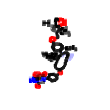 C=C1CC[C@@H](Oc2ccc(N3CC(=O)NS3(=O)=O)cc2)C/C=C\C=C/1c1c(C)cc(OCCC(C)(C)O)cc1C